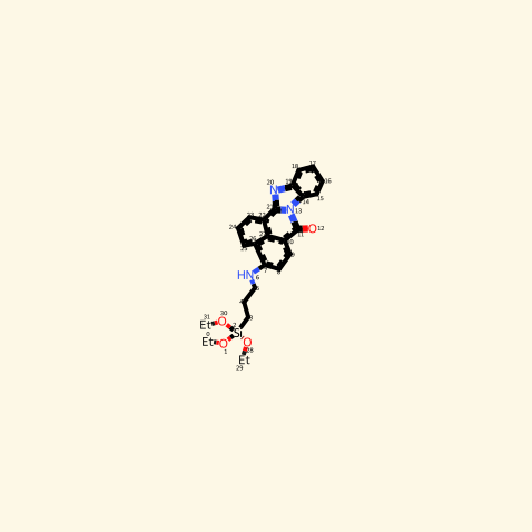 CCO[Si](CCCNc1ccc2c(=O)n3c4ccccc4nc3c3cccc1c23)(OCC)OCC